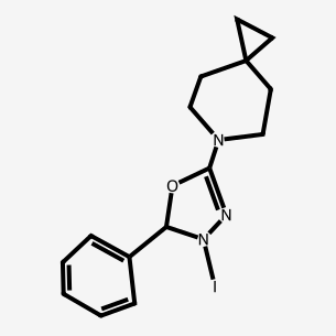 IN1N=C(N2CCC3(CC2)CC3)OC1c1ccccc1